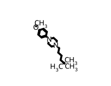 COc1ccc(N2CCN(CCCCC(C)(C)C)CC2)cc1